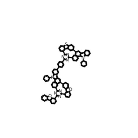 c1ccc(-c2nc(-c3cccc4c3oc3ccccc34)nc(-c3cccc4oc5ccc(-c6ccc7c(c6)c6cc(-c8ccc(-c9nc(-c%10ccccc%10)nc(-c%10cccc%11sc%12ccc(-c%13ccc%14c(c%13)c%13ccccc%13n%14-c%13ccccc%13)cc%12c%10%11)n9)cc8)ccc6n7-c6ccccc6)cc5c34)n2)cc1